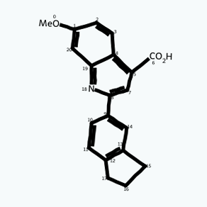 COc1ccc2c(C(=O)O)cc(-c3ccc4c(c3)CCC4)nc2c1